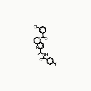 CC(NC(=O)c1ccc(F)cc1)c1ccc2c(n1)CCCN2C(=O)c1cccc(Cl)c1